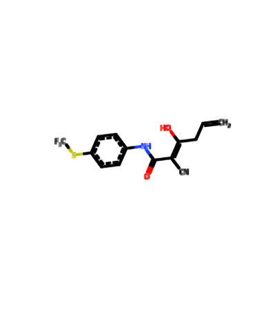 C=CCC(O)=C(C#N)C(=O)Nc1ccc(SC(F)(F)F)cc1